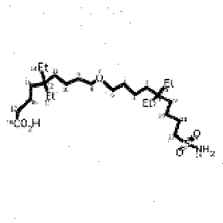 CCC(CC)(CCCCOCCCCC(CC)(CC)CCCC(=O)O)CCCCS(N)(=O)=O